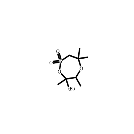 CC1OC(C)(C)CS(=O)(=O)OC1(C)C(C)(C)C